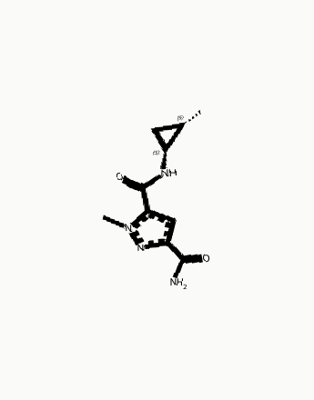 C[C@H]1C[C@@H]1NC(=O)c1cc(C(N)=O)nn1C